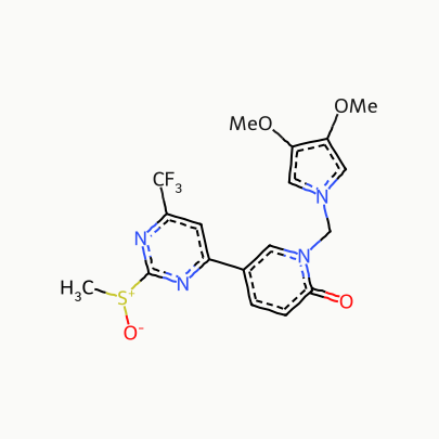 COc1cn(Cn2cc(-c3cc(C(F)(F)F)nc([S+](C)[O-])n3)ccc2=O)cc1OC